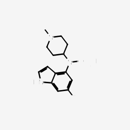 CN1CCC(N(C(=O)O)c2cc(F)cc3[nH]ccc23)CC1